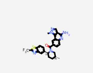 C[C@@H]1CC[C@@H](c2ccc3sc(C(F)(F)F)nc3c2)N(C(=O)c2ccc3nc(N)c4cnn(C)c4c3c2)C1